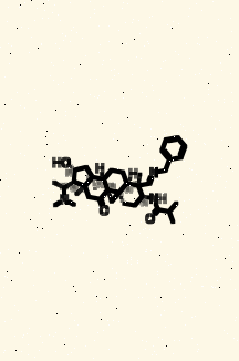 CC(C)C(=O)N[C@H]1CC[C@]23C[C@]24C(=O)C[C@]2(C)[C@@H]([C@H](C)N(C)C)[C@H](O)C[C@@]2(C)[C@@H]4CC[C@H]3[C@]1(C)C=NCc1ccccc1